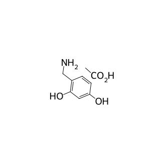 CC(=O)O.NCc1ccc(O)cc1O